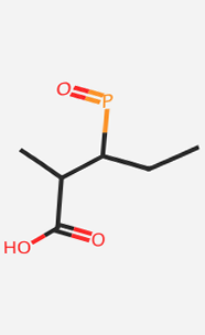 CCC(P=O)C(C)C(=O)O